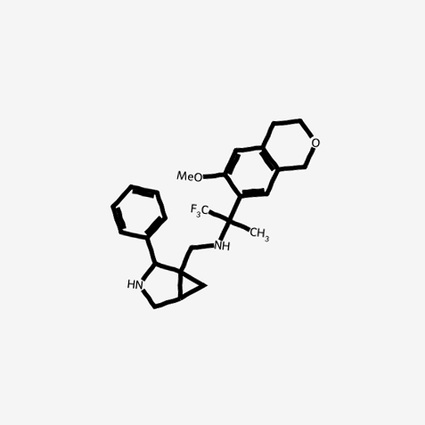 COc1cc2c(cc1C(C)(NCC13CC1CNC3c1ccccc1)C(F)(F)F)COCC2